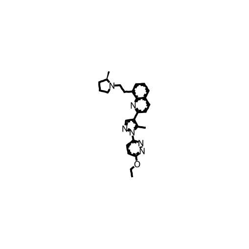 CCOc1ccc(-n2ncc(-c3ccc4cccc(CCN5CCC[C@H]5C)c4n3)c2C)nn1